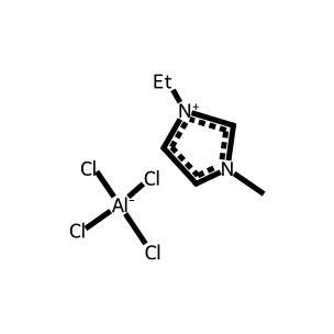 CC[n+]1ccn(C)c1.[Cl][Al-]([Cl])([Cl])[Cl]